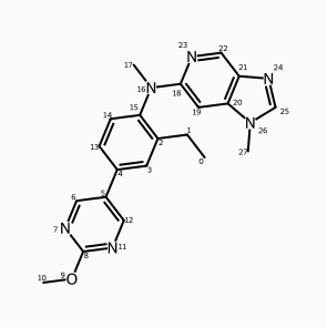 CCc1cc(-c2cnc(OC)nc2)ccc1N(C)c1cc2c(cn1)ncn2C